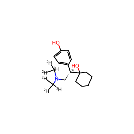 [2H]C([2H])([2H])N(C[C@H](c1ccc(O)cc1)C1(O)CCCCC1)C([2H])([2H])[2H]